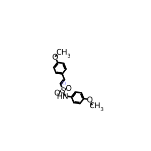 COc1ccc(/C=C/S(=O)(=O)Nc2ccc(OC)cc2)cc1